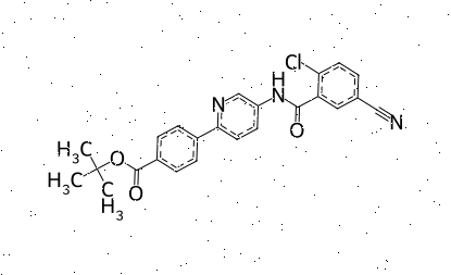 CC(C)(C)OC(=O)c1ccc(-c2ccc(NC(=O)c3cc(C#N)ccc3Cl)cn2)cc1